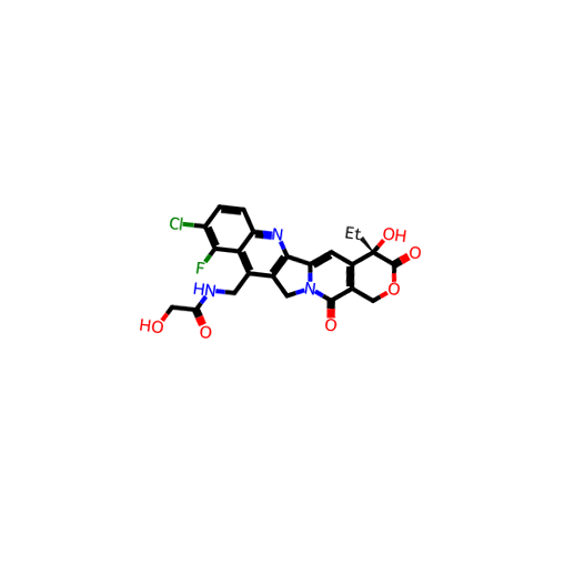 CC[C@@]1(O)C(=O)OCc2c1cc1n(c2=O)Cc2c-1nc1ccc(Cl)c(F)c1c2CNC(=O)CO